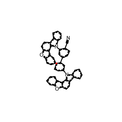 N#Cc1ccc(-c2cccc(-n3c4ccccc4c4ccc5oc6ccccc6c5c43)c2)cc1-n1c2ccccc2c2ccc3oc4ccccc4c3c21